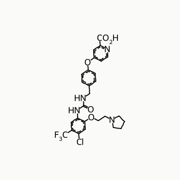 O=C(NCc1ccc(Oc2ccnc(C(=O)O)c2)cc1)Nc1cc(C(F)(F)F)c(Cl)cc1OCCN1CCCC1